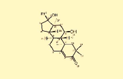 CC[C@]1(O)CC[C@H]2[C@@H]3CCC4=CC(=O)C(C)(C)C[C@]4(C)[C@H]3[C@H](O)C[C@@]21C